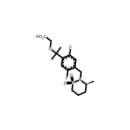 C[C@H]1CCCS(=O)(=O)N1Cc1cc(F)c(C(C)(C)OCC(=O)O)cc1F